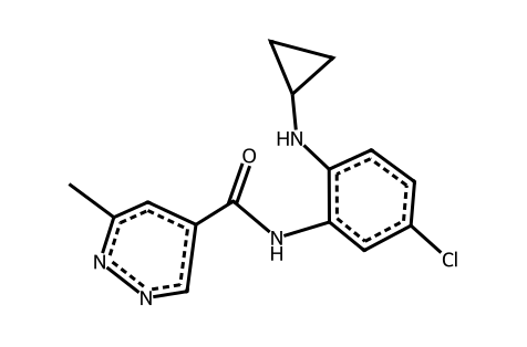 Cc1cc(C(=O)Nc2cc(Cl)ccc2NC2CC2)cnn1